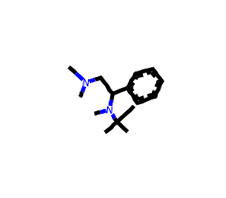 CN(C)CC(c1ccccc1)N(C)C(C)(C)C